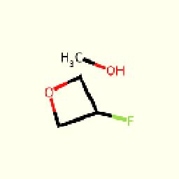 CO.FC1COC1